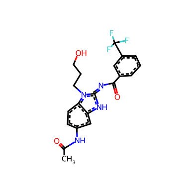 CC(=O)Nc1ccc2c(c1)[nH]/c(=N\C(=O)c1cccc(C(F)(F)F)c1)n2CCCO